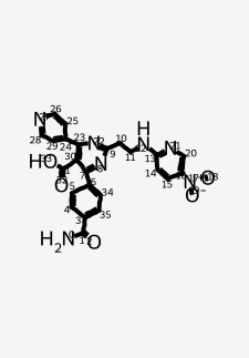 NC(=O)c1ccc(-c2nc(CCNc3ccc([N+](=O)[O-])cn3)nc(-c3ccncc3)c2C(=O)O)cc1